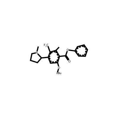 CCCCOc1cc(C2CCCN2C)c(C(F)(F)F)c(C)c1C(=O)Oc1ccccc1